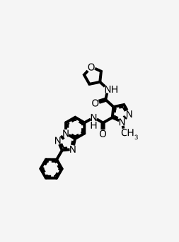 Cn1ncc(C(=O)NC2CCOC2)c1C(=O)Nc1ccn2nc(-c3ccccc3)nc2c1